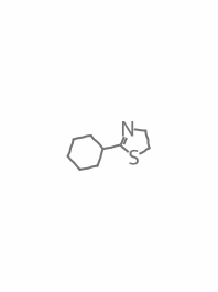 C1CCC(C2=NCCS2)CC1